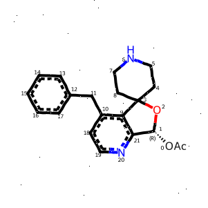 CC(=O)O[C@H]1OC2(CCNCC2)c2c(Cc3ccccc3)ccnc21